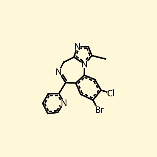 Cc1cnc2n1-c1cc(Cl)c(Br)cc1C(c1ccccn1)=NC2